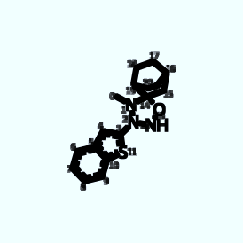 CN1N(c2cc3ccccc3s2)NO[C@@]12CC1CCC2CC1